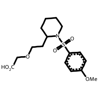 COc1ccc(S(=O)(=O)N2CCCCC2CCOCC(=O)O)cc1